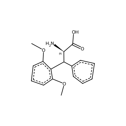 COc1cccc(OC)c1C(c1ccccc1)[C@@H](N)C(=O)O